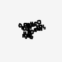 C=N/C(=C\C(CCC1CCCN1C)=N/CC(=N)/C(CCC)=C(\C)[C@H]1CCCCC1=C)N/C=c1/ccn(C2CCCC2)c(=C)c1=N